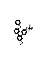 COc1ccc(C2=CC(Oc3ccccc3)=CC[CH]2)c(-c2ccc(OC(F)(F)F)cc2)c1